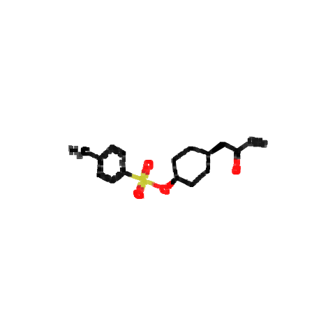 COC(=O)C[C@H]1CC[C@@H](OS(=O)(=O)c2ccc(C)cc2)CC1